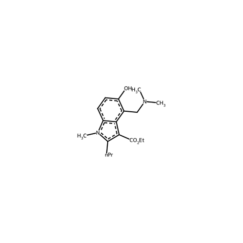 CCCc1c(C(=O)OCC)c2c(CN(C)C)c(O)ccc2n1C